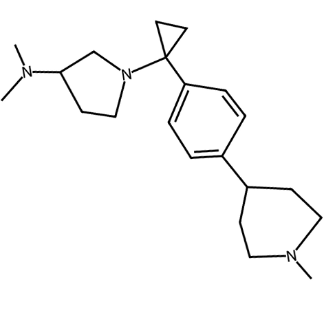 CN1CCC(c2ccc(C3(N4CCC(N(C)C)C4)CC3)cc2)CC1